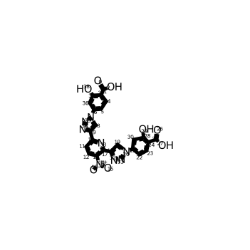 O=C(O)c1ccc(-n2cc(-c3ccc([N+](=O)[O-])c(-c4cn(-c5ccc(C(=O)O)c(O)c5)nn4)n3)nn2)cc1O